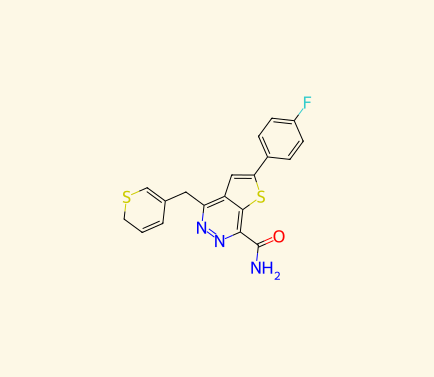 NC(=O)c1nnc(CC2=CSCC=C2)c2cc(-c3ccc(F)cc3)sc12